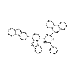 c1ccc(C2N=C(c3cc4ccccc4c4ccccc34)N=C(c3ccc(-c4ccc5c(c4)sc4ccccc45)c4oc5ccccc5c34)N2)cc1